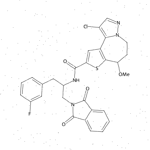 COC1CCn2ncc(Cl)c2-c2cc(C(=O)NC(Cc3cccc(F)c3)CN3C(=O)c4ccccc4C3=O)sc21